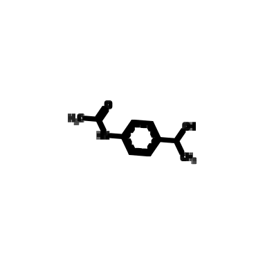 CC(=O)Nc1ccc(C(C)O)cc1